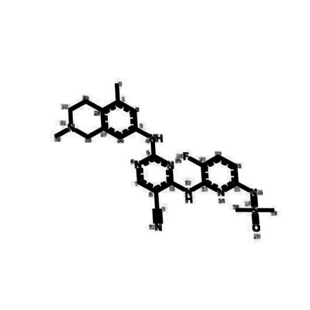 Cc1cc(Nc2ncc(C#N)c(Nc3nc(N=S(C)(C)=O)ccc3F)n2)cc2c1CCN(C)C2